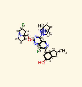 CC1Cc2cc(O)cc(-c3ncc4c(N5C[C@H]6CC[C@@H](C5)N6)nc(OC[C@@]56CCCN5C[C@H](F)C6)nc4c3F)c2C1